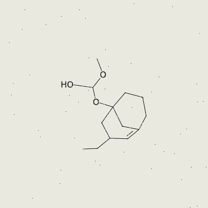 CCC1C=C2CCCC(OC(O)OC)(C2)C1